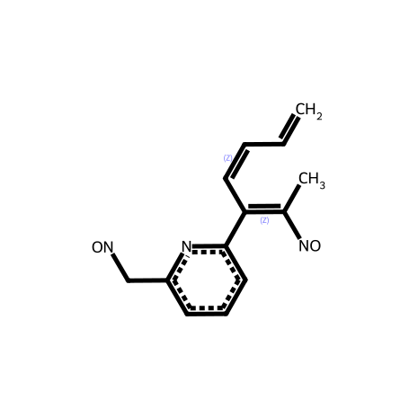 C=C/C=C\C(=C(/C)N=O)c1cccc(CN=O)n1